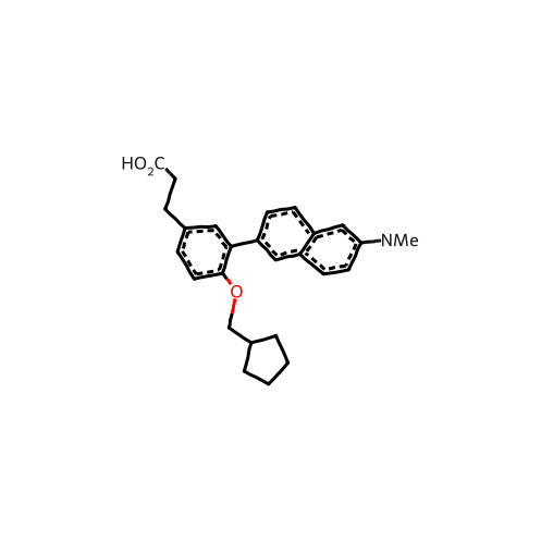 CNc1ccc2cc(-c3cc(CCC(=O)O)ccc3OCC3CCCC3)ccc2c1